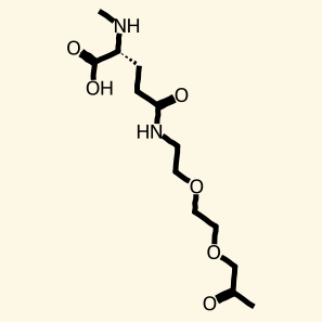 CN[C@H](CCC(=O)NCCOCCOCC(C)=O)C(=O)O